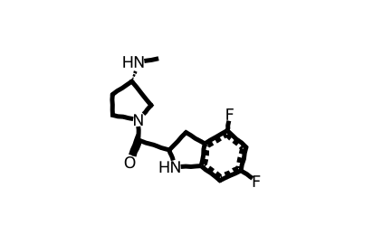 CN[C@H]1CCN(C(=O)C2Cc3c(F)cc(F)cc3N2)C1